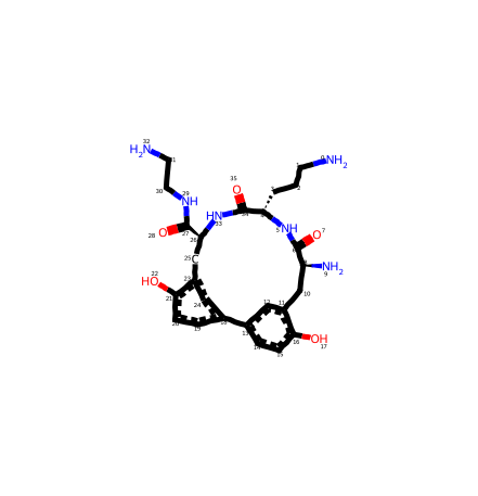 NCCC[C@@H]1NC(=O)[C@@H](N)Cc2cc(ccc2O)-c2ccc(O)c(c2)C[C@@H](C(=O)NCCN)NC1=O